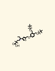 CC/C(=C\CC(C)(C)C(=O)O)c1csc(COc2ccc(CO[Si](C)(C)C(C)(C)C)c(CO[Si](C)(C)C(C)(C)C)c2)c1